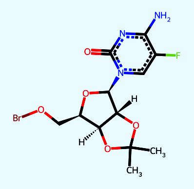 CC1(C)O[C@@H]2[C@@H](O1)[C@@H](COBr)O[C@H]2n1cc(F)c(N)nc1=O